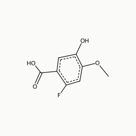 COc1cc(F)c(C(=O)O)cc1O